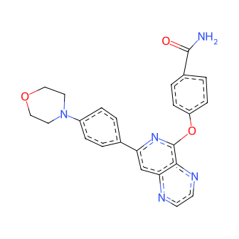 NC(=O)c1ccc(Oc2nc(-c3ccc(N4CCOCC4)cc3)cc3nccnc23)cc1